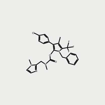 Cc1c(-c2ccc(Cl)cc2)c(OC(=O)N(C)Cc2nccn2C)n(Cc2ccccc2)c1C(F)(F)F